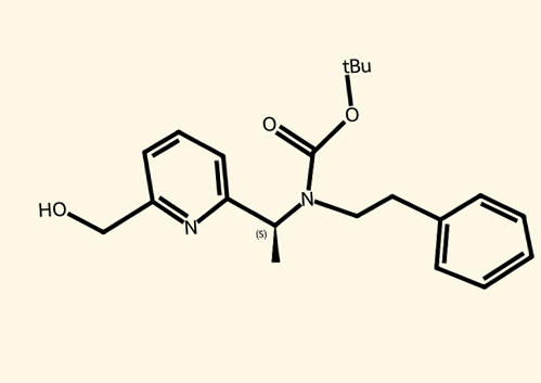 C[C@@H](c1cccc(CO)n1)N(CCc1ccccc1)C(=O)OC(C)(C)C